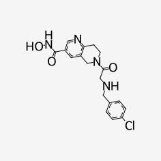 O=C(NO)c1cnc2c(c1)CN(C(=O)CNCc1ccc(Cl)cc1)CC2